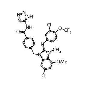 COc1cc(Cl)cc2c1n(C)c(=Nc1ccc(OC(F)(F)F)c(Cl)c1)n2Cc1ccc(C(=O)Nc2nnn[nH]2)cc1